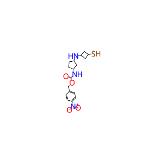 O=C(N[C@@H]1CC[C@@H](NC2CC(S)C2)C1)OCc1ccc([N+](=O)[O-])cc1